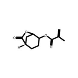 C=C(C)C(=O)OC1CC[C@H]2CC1OC2=O